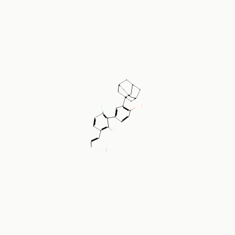 CCc1c(C=CC(=O)O)ccc(F)c1-c1ccc(O)c(C23CC4CC(CC(C4)C2)C3)c1